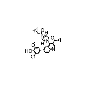 COc1cc(-c2ccc3ncc(C(=O)C4CC4)c(N4C[C@@H]5C[C@H]4CN5C(=O)CN(C)C)c3c2)cc(Cl)c1O